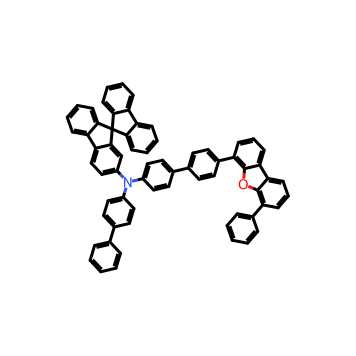 c1ccc(-c2ccc(N(c3ccc(-c4ccc(-c5cccc6c5oc5c(-c7ccccc7)cccc56)cc4)cc3)c3ccc4c(c3)C3(c5ccccc5-c5ccccc53)c3ccccc3-4)cc2)cc1